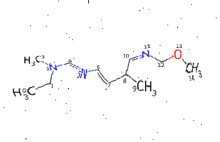 CCN(C)/C=N/C=C/C(C)/C=N\COC